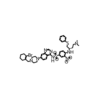 CN(C)CC[C@H](CSc1ccccc1)Nc1ccc(S(=O)(=O)Nc2ncnc3cc(N4CCN(CC5=C(Br)CCCC5)CC4)ccc23)cc1[N+](=O)[O-]